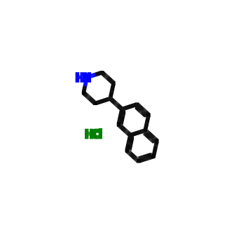 Cl.c1ccc2cc(C3CCNCC3)ccc2c1